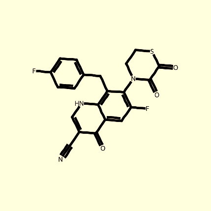 N#Cc1c[nH]c2c(Cc3ccc(F)cc3)c(N3CCSC(=O)C3=O)c(F)cc2c1=O